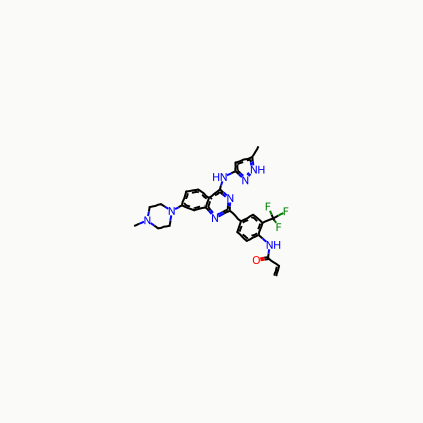 C=CC(=O)Nc1ccc(-c2nc(Nc3cc(C)[nH]n3)c3ccc(N4CCN(C)CC4)cc3n2)cc1C(F)(F)F